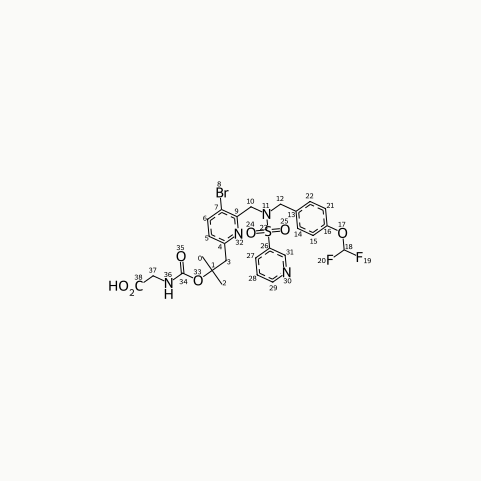 CC(C)(Cc1ccc(Br)c(CN(Cc2ccc(OC(F)F)cc2)S(=O)(=O)c2cccnc2)n1)OC(=O)NCC(=O)O